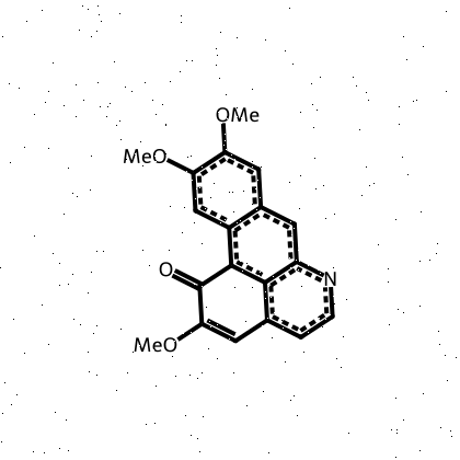 COC1=Cc2ccnc3cc4cc(OC)c(OC)cc4c(c23)C1=O